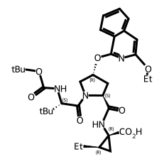 CCOc1cc2ccccc2c(O[C@@H]2C[C@@H](C(=O)N[C@]3(C(=O)O)C[C@H]3CC)N(C(=O)[C@@H](NC(=O)OC(C)(C)C)C(C)(C)C)C2)n1